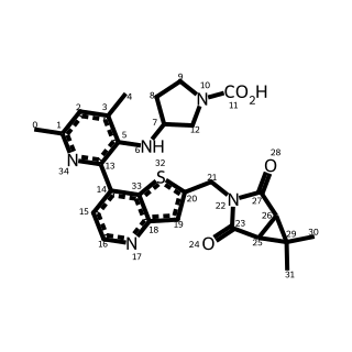 Cc1cc(C)c(NC2CCN(C(=O)O)C2)c(-c2ccnc3cc(CN4C(=O)C5C(C4=O)C5(C)C)sc23)n1